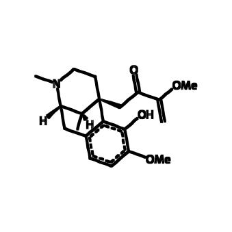 C=C(OC)C(=O)C[C@@]12CCN(C)[C@@H](Cc3ccc(OC)c(O)c31)[C@H]2C